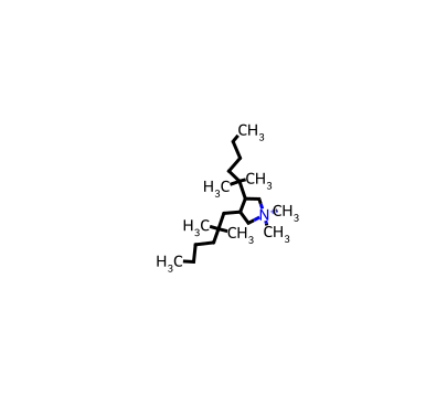 CCCCC(C)(C)CC1C[N+](C)(C)CC1C(C)(C)CCCC